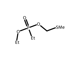 CCOP(=O)(CC)OCSC